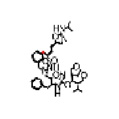 C/C(=C\C=C1/CN=C(NC(C)C)O1)S(=O)(=O)NN(Cc1ccccc1)C[C@@H](O)C(Cc1ccccc1)NC(=O)OC1C2COC(C2)OC[C@H]1C(C)C